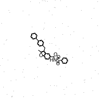 Cc1oc2ccc(C(=O)NS(=O)(=O)c3ccccc3)cc2c1Cc1ccc(-c2ccccc2)cc1